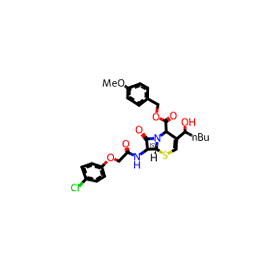 CCCCC(O)C1=CS[C@H]2C(NC(=O)COc3ccc(Cl)cc3)C(=O)N2C1C(=O)OCc1ccc(OC)cc1